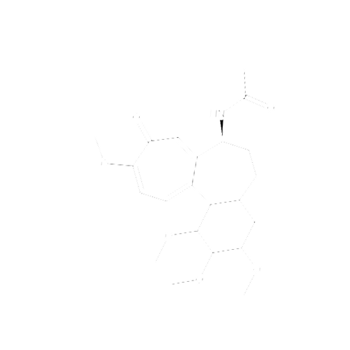 COc1ccc2c(cc1=O)[C@@H](NC(C)=O)CCC1CC(OC)C(OC)C(OC)C21